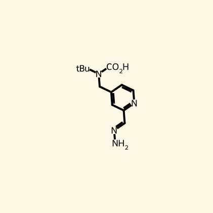 CC(C)(C)N(Cc1ccnc(C=NN)c1)C(=O)O